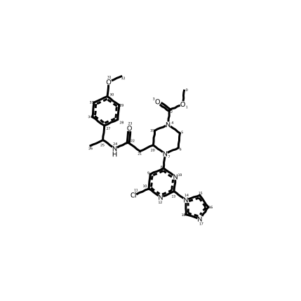 COC(=O)N1CCN(c2cc(Cl)nc(-n3ccnc3)n2)C(CC(=O)NC(C)c2ccc(OC)cc2)C1